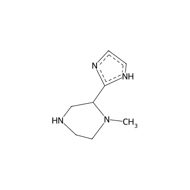 CN1CCNCC1c1ncc[nH]1